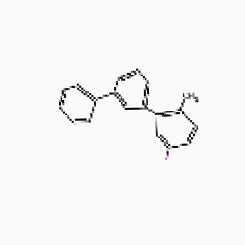 Cc1ccc(I)cc1-c1cccc(-c2ccccc2)c1